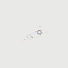 COc1c(Cl)cc(C(=O)NC[C@@H]2CCN(CCCO)CC2OC)c2c1OCCO2